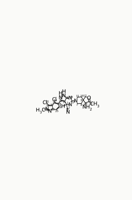 [2H]C1(C#N)N=C(N2CCC3(CC2)CO[C@@H](C)[C@H]3N)N=C2NNC(c3ccc4nn(C)c(Cl)c4c3Cl)=C21